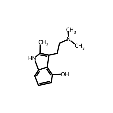 Cc1[nH]c2cccc(O)c2c1CCN(C)C